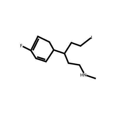 CNCCC(CCI)C1C=CC(F)=CC1